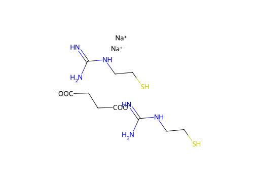 N=C(N)NCCS.N=C(N)NCCS.O=C([O-])CCC(=O)[O-].[Na+].[Na+]